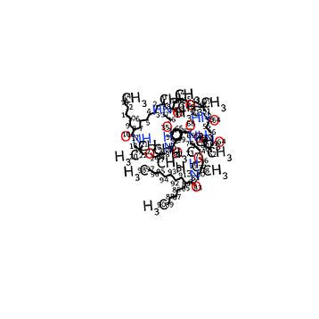 CCCCCCCCC(CCCCCC)C(=O)NCC(C)(C)COCC(C)(C)CNC(=O)c1cc(OCCNC(=O)CC(C)(C)COCC(C)(C)CNC(=O)CCN2C(=O)CC(C)C2=O)cc(C(=O)NCC(C)(C)COCC(C)(C)CNC(=O)C(CCCCCC)CCCCCCCC)c1